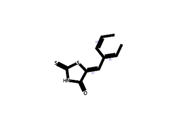 C\C=C/C(/C=C1\SC(=S)NC1=O)=C\C